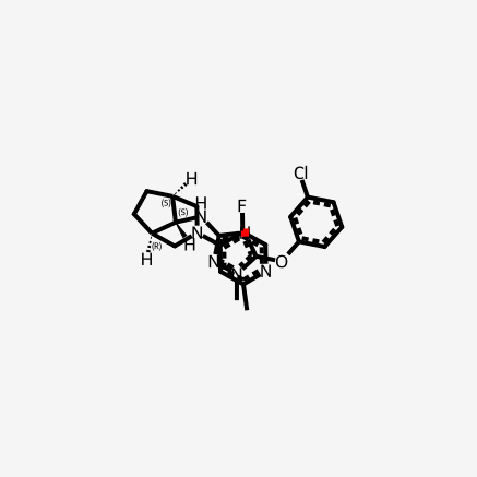 Cc1cc(N2C[C@H]3CC[C@@H](C2)[C@@H]3Nc2nc(Oc3cccc(Cl)c3)n(C)n2)c(F)cn1